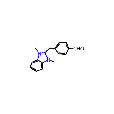 Cn1c(Cc2ccc(C=O)cc2)[n+](C)c2ccccc21